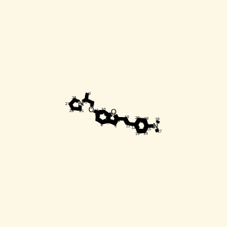 CC(COc1ccc2cc(/C=C/c3ccc(N(C)C)cc3)oc2c1)N1CCCC1